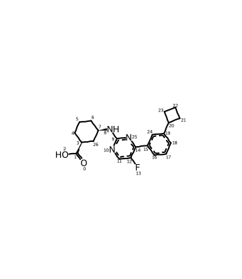 O=C(O)[C@H]1CCC[C@@H](Nc2ncc(F)c(-c3cccc(C4CCC4)c3)n2)C1